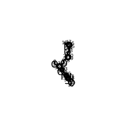 COc1cc(OCc2cccc(OCc3cccc(C)n3)c2)c2cc(-c3cn4nc(OC)sc4n3)oc2c1